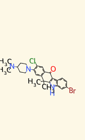 CN(C)C1CCN(c2cc3c(cc2Cl)C(=O)c2c([nH]c4cc(Br)ccc24)C3(C)C)CC1